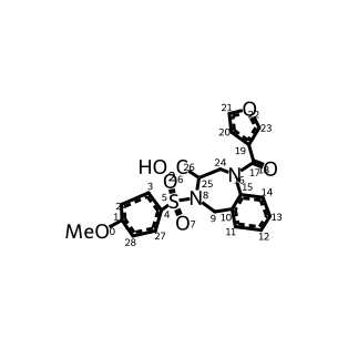 COc1ccc(S(=O)(=O)N2Cc3ccccc3N(C(=O)c3ccoc3)CC2C(=O)O)cc1